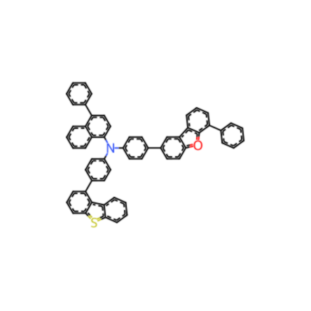 c1ccc(-c2ccc(N(c3ccc(-c4ccc5oc6c(-c7ccccc7)cccc6c5c4)cc3)c3ccc(-c4cccc5sc6ccccc6c45)cc3)c3ccccc23)cc1